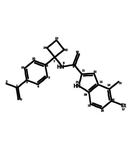 C=C(C)c1ccc(C2(NC(=C)c3cc4c(C)c(CC)ccc4[nH]3)CCC2)cc1